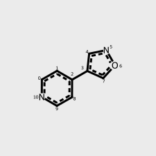 c1cc(-c2cnoc2)ccn1